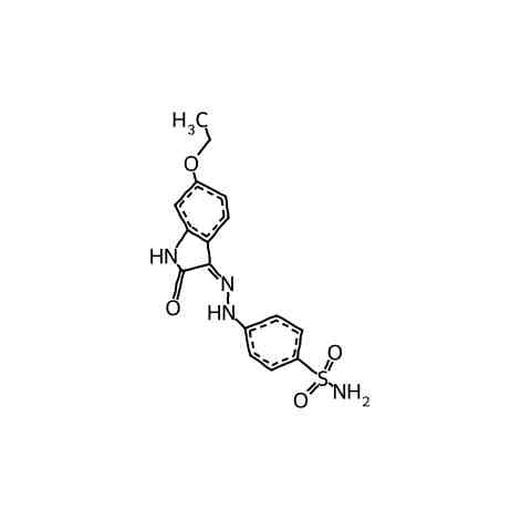 CCOc1ccc2c(c1)NC(=O)C2=NNc1ccc(S(N)(=O)=O)cc1